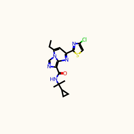 CCc1cc(-c2nc(Cl)cs2)nc2c(C(=O)NC(C)(C)C3CC3)ncn12